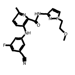 COCCn1ccc(NC(=O)c2nc(C)ccc2Nc2cc(F)cc(C#N)c2)n1